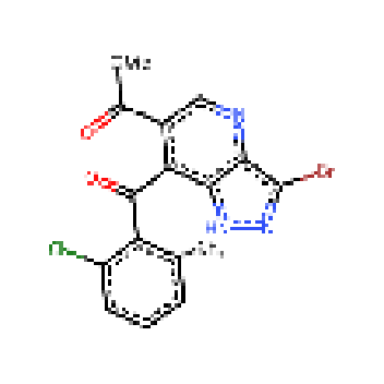 COC(=O)c1cnc2c(Br)n[nH]c2c1C(=O)c1c(Cl)cccc1C(F)(F)F